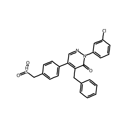 O=c1c(Cc2ccccc2)c(-c2ccc(C[SH](=O)=O)cc2)cnn1-c1cccc(Cl)c1